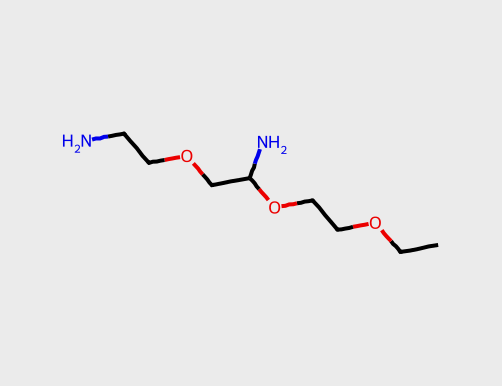 CCOCCOC(N)COCCN